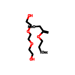 C=C(COC)OCCCCCCCCCCCC.OCCOCCOCCO